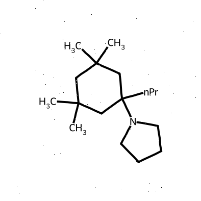 CCCC1(N2CCCC2)CC(C)(C)CC(C)(C)C1